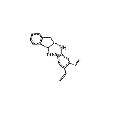 C=Cc1ccc(NC2Cc3ccccc3C2NC)cc1C=C